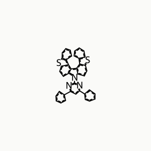 c1ccc(-c2cc(-c3ccccc3)nc(-n3c4ccc5sc6ccccc6c5c4c4c5c(ccc43)sc3ccccc35)n2)cc1